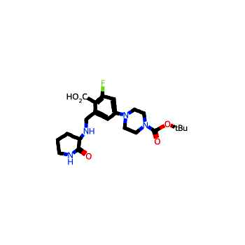 CC(C)(C)OC(=O)N1CCN(c2cc(F)c(C(=O)O)c(CNC3CCCNC3=O)c2)CC1